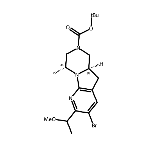 COC(C)c1nc2c(cc1Br)C[C@@H]1CN(C(=O)OC(C)(C)C)C[C@@H](C)N21